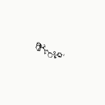 O=C(NCC1CCCN(S(=O)(=O)c2ccc(F)cc2)C1)C12CC3CC(CC(C3)C1)C2